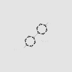 O=C(O)c1ccc(-c2ccc(C(=O)O)cc2)cc1.[NaH]